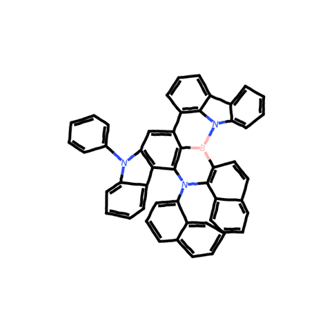 c1ccc(-n2c3ccccc3c3c4c5c(cc32)-c2cccc3c6ccccc6n(c23)B5c2ccc3ccccc3c2N4c2cccc3ccccc23)cc1